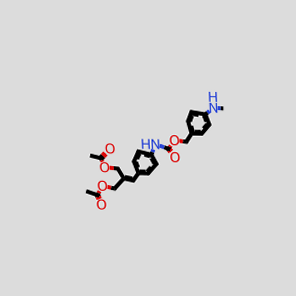 CNc1ccc(COC(=O)Nc2ccc(C=C(COC(C)=O)COC(C)=O)cc2)cc1